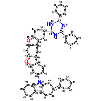 c1ccc(C2=NC(c3ccccc3)NC(c3ccc4oc5cc6oc7cc(-n8c9ccccc9c9ccc(-c%10ccccc%10)cc98)ccc7c6cc5c4c3)=N2)cc1